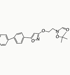 CC(C)(C)ON(C=O)CCOc1cc(-c2ccc(-c3ccccc3)cc2)on1